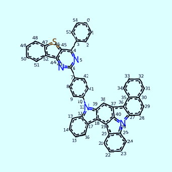 c1ccc(-c2nc(-c3ccc(-n4c5ccccc5c5c6c7ccccc7n7c8ccc9ccccc9c8c(cc54)c67)cc3)nc3c2sc2ccccc23)cc1